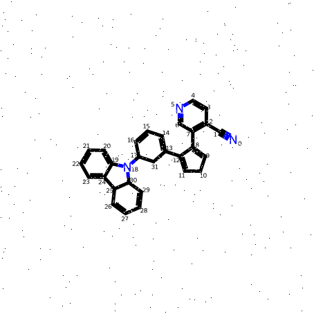 N#Cc1ccncc1C1=CCC=C1C1=CC=CC(N2c3ccccc3C3C=CC=CC32)C1